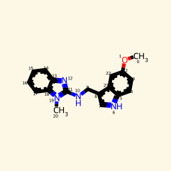 COc1ccc2[nH]cc(CNc3nc4ccccc4n3C)c2c1